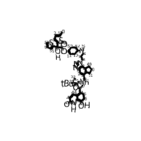 Cc1ccc([C@@](O)(C(=O)O[C@H]2CC[C@H](N(C)CCCn3nnc4cc(CNC[C@H](O[Si](C)(C)C(C)(C)C)c5ccc(O)c6[nH]c(=O)ccc56)c5c(c43)CCC5)CC2)c2cccs2)s1